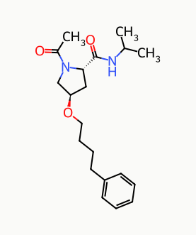 CC(=O)N1C[C@H](OCCCCc2ccccc2)C[C@H]1C(=O)NC(C)C